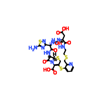 Nc1nc(/C(=N/O)C(=O)N[C@@H]2C(=O)N3C(C(=O)O)=C(Sc4cccnc4CSCCNC(=O)[C@@H](N)CC(=O)O)CS[C@@H]23)ns1